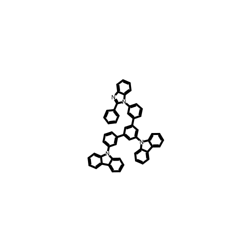 c1ccc(-c2nc3ccccc3n2-c2cccc(-c3cc(-c4cccc(-n5c6ccccc6c6ccccc65)c4)cc(-n4c5ccccc5c5ccccc54)c3)c2)cc1